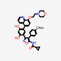 COc1ccc(-c2c(-c3cc(-c4ccc(OCCN5CCOCC5)c5ncccc45)c(O)cc3O)noc2NC(=O)C2CC2)cc1